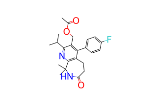 CC(=O)OCc1c(C(C)C)nc2c(c1-c1ccc(F)cc1)CCC(=O)NC2(C)C